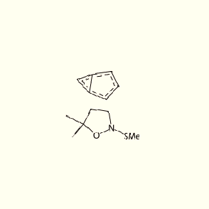 CSN1CCC(C)(C)O1.c1cc2cc-2c1